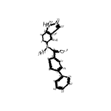 CCCN(C(=O)c1ccc(-c2ccccc2)cc1)C1CCc2[nH]ncc2C1